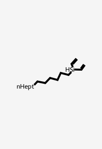 C=C[SiH](C=C)CCCCCCCCCCCCC